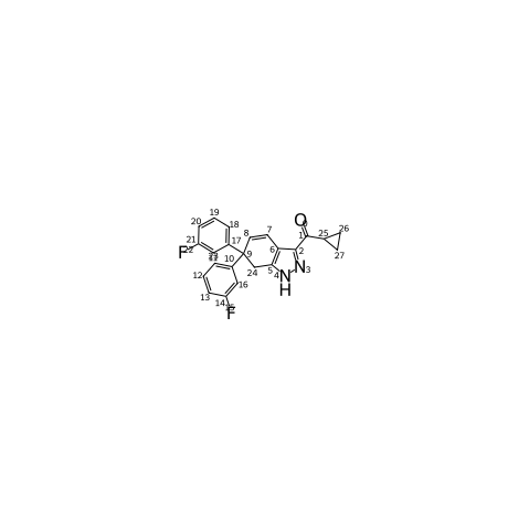 O=C(c1n[nH]c2c1C=CC(c1cccc(F)c1)(c1cccc(F)c1)C2)C1CC1